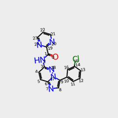 O=C(Nc1ccc2ncc(-c3cccc(Cl)c3)n2n1)c1ncccn1